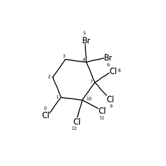 ClC1CCC(Br)(Br)C(Cl)(Cl)C1(Cl)Cl